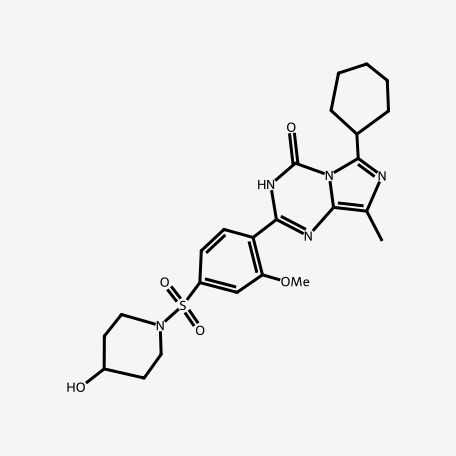 COc1cc(S(=O)(=O)N2CCC(O)CC2)ccc1-c1nc2c(C)nc(C3CCCCC3)n2c(=O)[nH]1